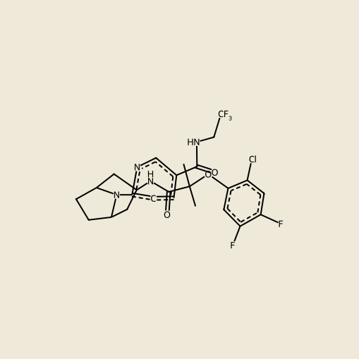 CC(C)(Oc1cc(F)c(F)cc1Cl)C(=O)NC1CC2CCC(C1)N2c1ccc(C(=O)NCC(F)(F)F)cn1